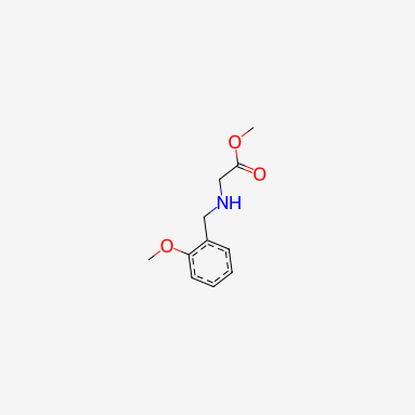 COC(=O)CNCc1ccccc1OC